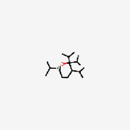 CC(C)C1C[CH2][Al]([CH](C)C)[O]C1(C(C)C)C(C)C